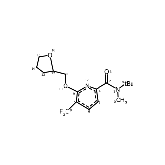 CN(C(=O)c1ccc(C(F)(F)F)c(OCC2CCCO2)n1)C(C)(C)C